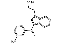 CCOC(=O)CCn1cc(C(=O)c2cccc([N+](=O)[O-])c2)c2ccccc21